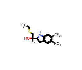 CCC(O)(CSCC(F)(F)F)C1Cc2cc([N+](=O)[O-])c(C(F)(F)F)cc2N1